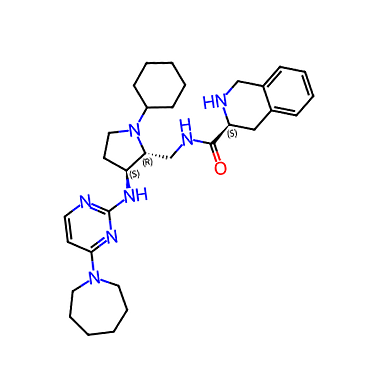 O=C(NC[C@@H]1[C@@H](Nc2nccc(N3CCCCCC3)n2)CCN1C1CCCCC1)[C@@H]1Cc2ccccc2CN1